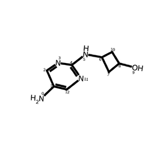 Nc1cnc(NC2CC(O)C2)nc1